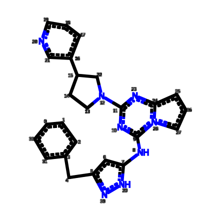 c1ccc(Cc2cc(Nc3nc(N4CCC(c5cccnc5)C4)nc4cccn34)[nH]n2)cc1